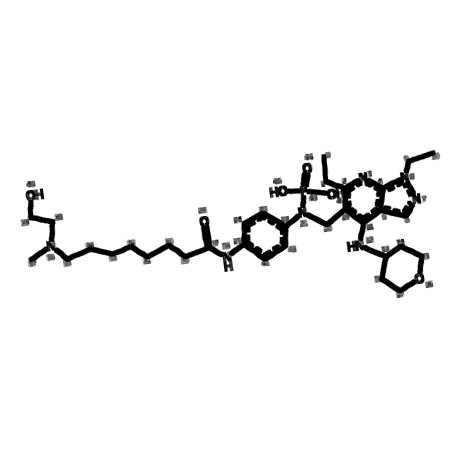 CCc1nc2c(cnn2CC)c(NC2CCOCC2)c1CN(c1ccc(NC(=O)CCCCCCCN(C)CCO)cc1)P(=O)(O)O